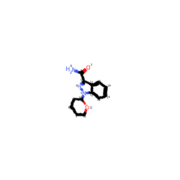 NC(=O)c1nn(C2CCCCO2)c2ccccc12